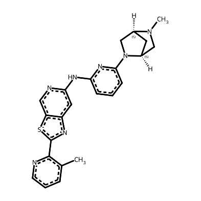 Cc1cccnc1-c1nc2cc(Nc3cccc(N4C[C@@H]5C[C@H]4CN5C)n3)ncc2s1